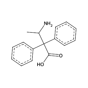 CC(N)C(C(=O)O)(c1ccccc1)c1ccccc1